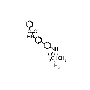 CC(C)(C)OC(=O)NC1CCC(c2ccc(NC(=O)Oc3ccccc3)cc2)CC1